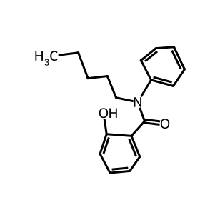 CCCCCN(C(=O)c1ccccc1O)c1ccccc1